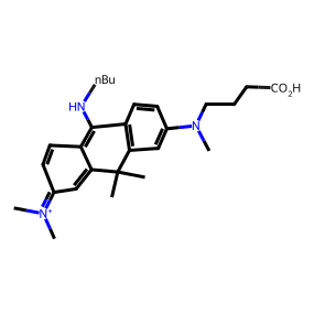 CCCCNC1=C2C=CC(=[N+](C)C)C=C2C(C)(C)c2cc(N(C)CCCC(=O)O)ccc21